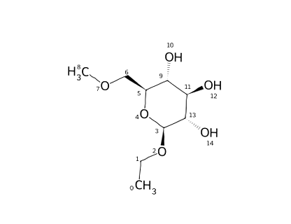 CCO[C@H]1O[C@@H](COC)[C@H](O)[C@@H](O)[C@@H]1O